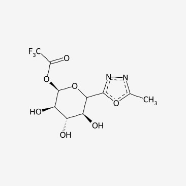 Cc1nnc(C2O[C@H](OC(=O)C(F)(F)F)[C@H](O)[C@@H](O)[C@@H]2O)o1